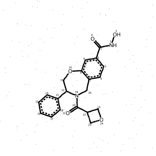 O=C(NO)c1ccc2c(c1)OCC(c1ccccc1)N(C(=O)C1COC1)C2